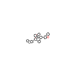 c1ccc([Si]2(c3ccccc3)c3ccc(-c4ccc5c(c4)-c4ccccc4C5)cc3-c3ccccc3-c3cc(-c4ccc5oc6ccccc6c5c4)ccc32)cc1